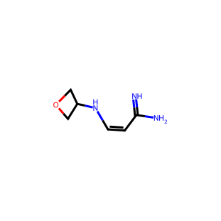 N=C(N)/C=C\NC1COC1